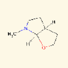 CN1CC[C@H]2CCO[C@H]21